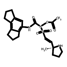 C[C@@]1(/C=C/S(=O)(=O)N(OC(=O)C(F)(F)F)C(=O)Nc2cc3c(c4c2CCC4)CCC3)CCCN1